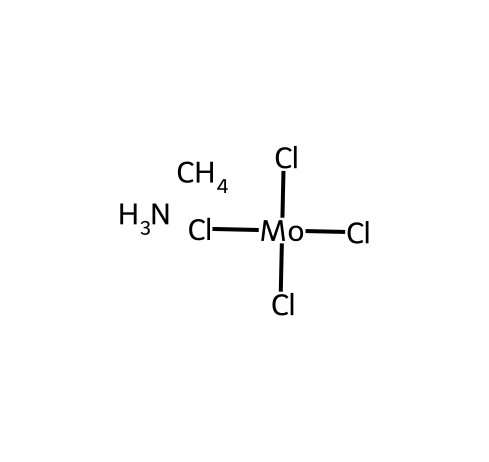 C.N.[Cl][Mo]([Cl])([Cl])[Cl]